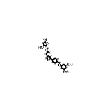 [3H][C@H]1CC(O)[C@@H](COC(=O)Cn2cc(-c3ccc(COC4CC(OC(C)=O)C[C@@H](C(C)(C)C)C4)cc3)nn2)O1